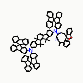 C=C1/C=C\C(N(c2ccc3c(c2)C(C)(C)C2=C4C(C)(C)c5cc(N(c6ccc7c(c6)C6(C8=C(CCC=C8)c8ccccc86)c6ccccc6-7)c6ccc7c(c6)C6(c8ccccc8-c8ccccc86)c6ccccc6-7)ccc5C4(C)CC=C23)c2ccc3c(c2)C2(C4=C(C=CCC4)c4ccccc42)C2=C3C=CCC2)=C/CC2(c3ccccc31)c1ccccc1-c1ccccc12